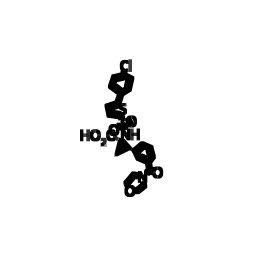 O=C(c1cccc([C@@H]2C[C@]2(NS(=O)(=O)c2ccc(-c3ccc(Cl)cc3)s2)C(=O)O)c1)N1CCOCC1